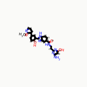 COc1ncccc1-c1ccc(O)c(-c2nc3cc(C(=O)NCCc4nc(N)cc(O)n4)ccc3[nH]2)c1